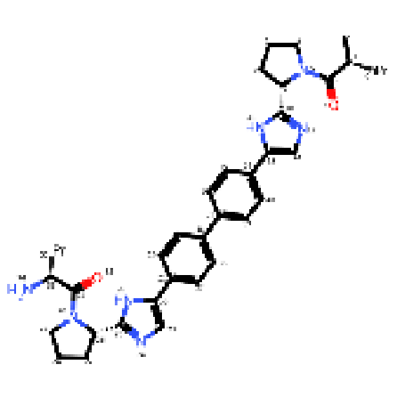 CC(C)[C@H](C)C(=O)N1CCC[C@H]1c1ncc(-c2ccc(-c3ccc(-c4cnc([C@@H]5CCCN5C(=O)[C@@H](N)C(C)C)[nH]4)cc3)cc2)[nH]1